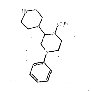 CCOC(=O)N1CCN(c2ccccc2)CC1N1CCNCC1